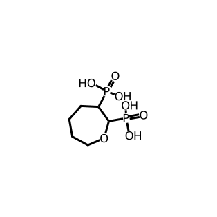 O=P(O)(O)C1CCCCOC1P(=O)(O)O